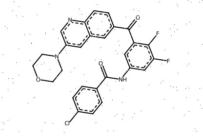 O=C(Nc1cc(F)c(F)c(C(=O)c2ccc3ncc(N4CCOCC4)cc3c2)c1)c1ccc(Cl)cc1